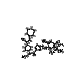 CN(C(=O)c1ccc(CNc2cc(C(C)(C)C)c(Cl)cc2O)o1)[C@@H]1CCC(C(=O)C=C2CCCCC2)C1